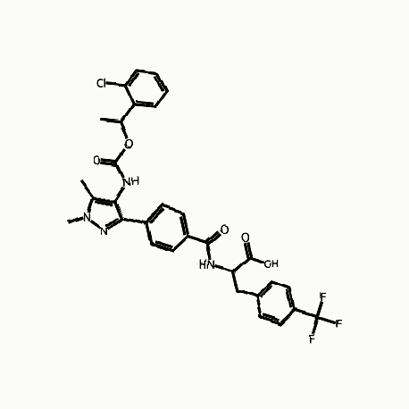 Cc1c(NC(=O)OC(C)c2ccccc2Cl)c(-c2ccc(C(=O)NC(Cc3ccc(C(F)(F)F)cc3)C(=O)O)cc2)nn1C